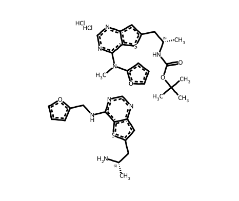 C[C@@H](Cc1cc2ncnc(N(C)c3ccco3)c2s1)NC(=O)OC(C)(C)C.C[C@H](N)Cc1cc2ncnc(NCc3ccco3)c2s1.Cl.Cl